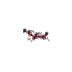 COc1cc(C(=O)Oc2ccc(/C=C/C(=O)CC(Cc3ccc(N)cc3)(Cc3ccc(N)cc3)C(O)(O)C(=O)/C=C/c3ccc(OC(=O)c4ccc(OCCCC(F)(F)C(F)(F)F)c(OC)c4)cc3)cc2)ccc1OCCCC(F)(F)C(F)(F)F